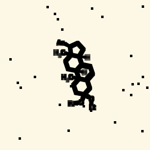 CCOC1(OCC)CC[C@@]2(C)C(=CC=C3[C@@H]4CC[C@H](C(C)=O)[C@@]4(C)CC[C@@H]32)C1